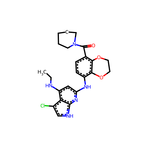 CCNc1cc(Nc2ccc(C(=O)N3CCCCC3)c3c2OCCO3)nc2[nH]cc(Cl)c12